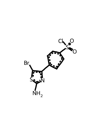 Nc1nc(-c2ccc(S(=O)(=O)Cl)cc2)c(Br)s1